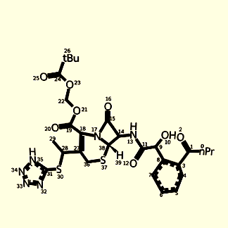 CCCC(=O)c1ccccc1C(O)C(=O)NC1C(=O)N2C(C(=O)OCOC(=O)C(C)(C)C)=C(C(C)Sc3nnn[nH]3)CS[C@@H]12